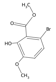 COC(=O)c1c(Br)ccc(OC)c1O